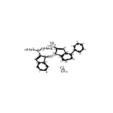 CCCCCCP(CCCCCC)C1=Cc2ccccc2[CH]1[Hf+2][CH]1C(C)=Cc2c(-c3ccccc3)cccc21.[Cl-].[Cl-]